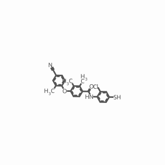 Cc1cc(C#N)ccc1Oc1ccc(C(=O)Nc2ccc(S)cc2Cl)c(C)c1C